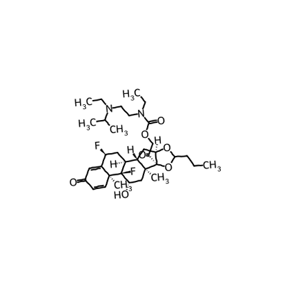 CCCC1O[C@@H]2C[C@H]3[C@@H]4C[C@H](F)C5=CC(=O)C=C[C@]5(C)[C@@]4(F)[C@@H](O)C[C@]3(C)[C@]2(C(=O)COC(=O)N(CC)CCN(CC)C(C)C)O1